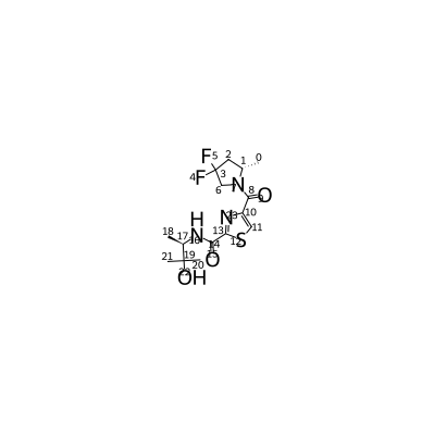 C[C@H]1CC(F)(F)CN1C(=O)c1csc(C(=O)N[C@H](C)C(C)(C)O)n1